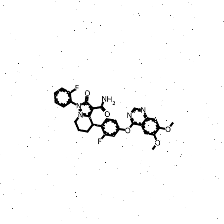 COc1cc2ncnc(Oc3ccc(C4CCCn5c4c(C(N)=O)c(=O)n5-c4ccccc4F)c(F)c3)c2cc1OC